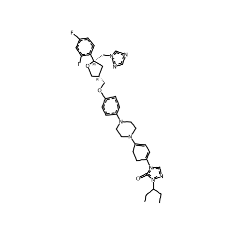 CCC(CC)n1ncn(C2=CC=C(N3CCN(c4ccc(OC[C@@H]5CO[C@@](Cn6cncn6)(c6ccc(F)cc6F)C5)cc4)CC3)CC2)c1=O